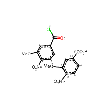 COc1cc(C(=O)Cl)ccc1[N+](=O)[O-].COc1cc(C(=O)O)ccc1[N+](=O)[O-]